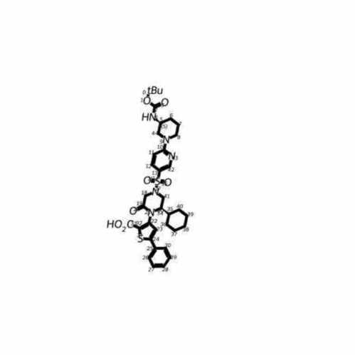 CC(C)(C)OC(=O)N[C@H]1CCCN(c2ccc(S(=O)(=O)N3CC(=O)N(c4cc(-c5ccccc5)sc4C(=O)O)[C@H](C4CCCCC4)C3)cn2)C1